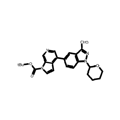 CC(C)(C)OC(=O)n1ccc2c(-c3ccc4c(c3)c(C=O)nn4C3CCCCO3)cncc21